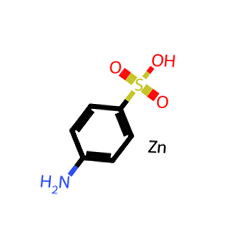 Nc1ccc(S(=O)(=O)O)cc1.[Zn]